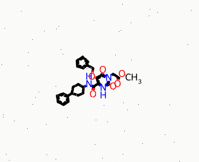 COC(=O)Cn1c(=O)[nH]c(C(=O)NC2CCC(c3ccccc3)CC2)c(OCc2ccccc2)c1=O